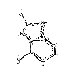 Clc1nc2c(Cl)cccc2[nH]1